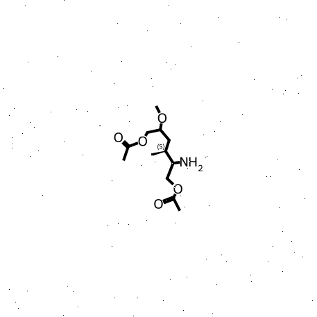 COC(COC(C)=O)C[C@H](C)C(N)COC(C)=O